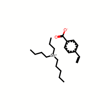 C=Cc1ccc(C(=O)[O-])cc1.CCCC[CH2][Sn+]([CH2]CC)[CH2]CCC